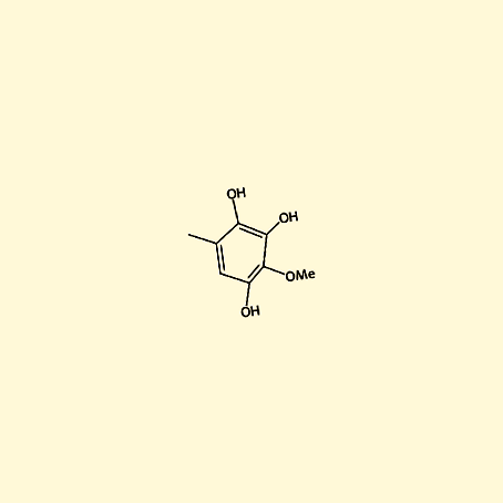 COc1c(O)cc(C)c(O)c1O